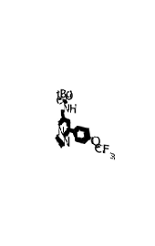 CC(C)(C)OC(=O)NCc1cc(-c2ccc(OC(F)(F)F)cc2)c2nccn2c1